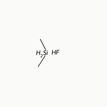 C[SiH2]C.F